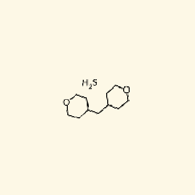 C1CC(CC2CCOCC2)CCO1.S